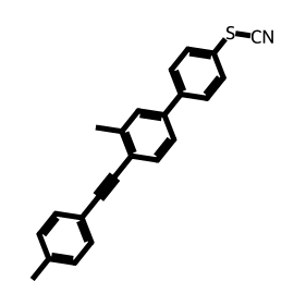 Cc1ccc(C#Cc2ccc(-c3ccc(SC#N)cc3)cc2C)cc1